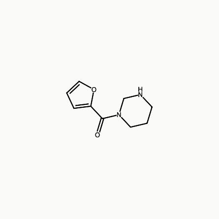 O=C(c1ccco1)N1CCCNC1